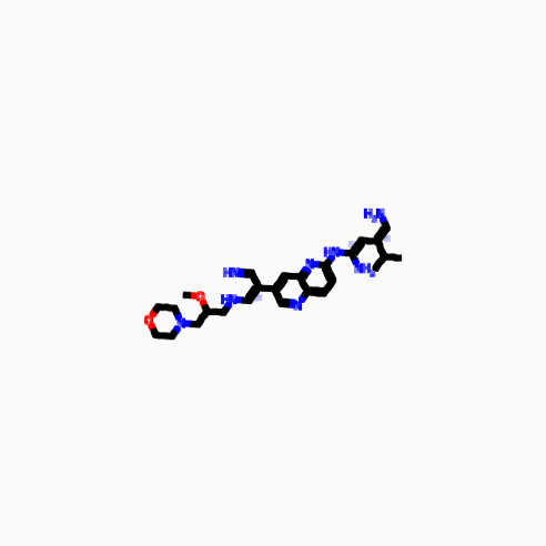 COC(CN/C=C(\C=N)c1cnc2ccc(N/C(N)=C/C(=C\N)C(C)C)nc2c1)CN1CCOCC1